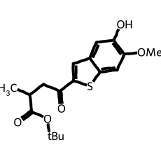 COc1cc2sc(C(=O)CC(C)C(=O)OC(C)(C)C)cc2cc1O